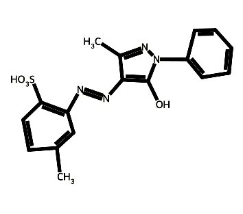 Cc1ccc(S(=O)(=O)O)c(N=Nc2c(C)nn(-c3ccccc3)c2O)c1